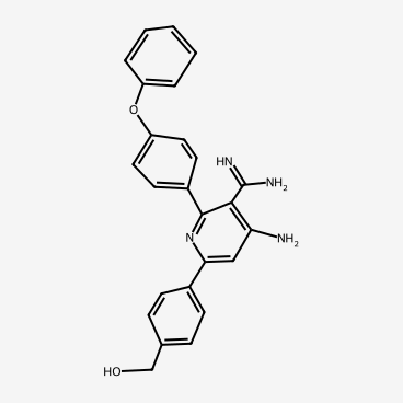 N=C(N)c1c(N)cc(-c2ccc(CO)cc2)nc1-c1ccc(Oc2ccccc2)cc1